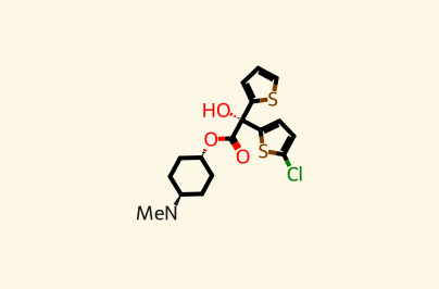 CN[C@H]1CC[C@H](OC(=O)[C@@](O)(c2cccs2)c2ccc(Cl)s2)CC1